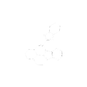 CC[C@@]12C=C(c3nc4c(o3)CCCC4)n3c4c(c5ccccc53)CCN(CCC1)[C@H]42